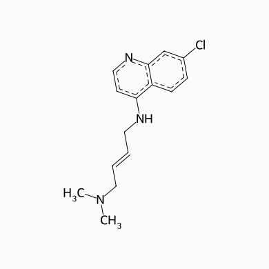 CN(C)CC=CCNc1ccnc2cc(Cl)ccc12